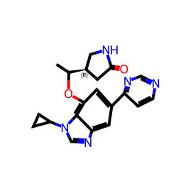 CC(Oc1cc(-c2ccncn2)cc2ncn(C3CC3)c12)[C@H]1CNC(=O)C1